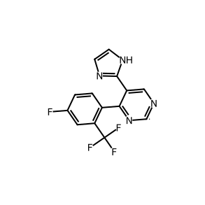 Fc1ccc(-c2n[c]ncc2-c2ncc[nH]2)c(C(F)(F)F)c1